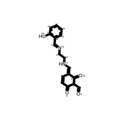 O=CC1C(=O)C=C/C(=C\NCCN=Cc2ccccc2O)C1=O